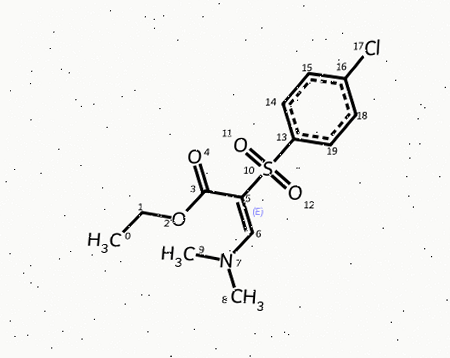 CCOC(=O)/C(=C\N(C)C)S(=O)(=O)c1ccc(Cl)cc1